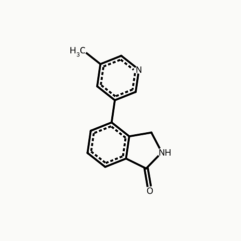 Cc1cncc(-c2cccc3c2CNC3=O)c1